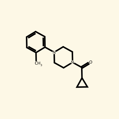 Cc1ccccc1N1CCN(C(=O)C2CC2)CC1